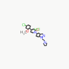 COc1cc(Cl)ccc1-c1ccn(-c2ccc3c(cnn3CCN3CCCC3)c2)c(=O)c1.Cl